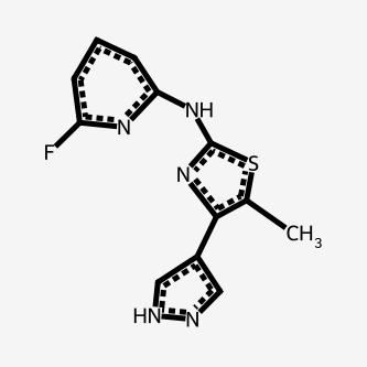 Cc1sc(Nc2cccc(F)n2)nc1-c1cn[nH]c1